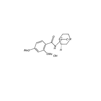 COc1ccc(C(=O)N[C@@H]2CN3CCC2CC3)c(OC)c1.Cl